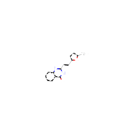 O=c1[nH]c(/C=C/c2ccc([N+](=O)[O-])o2)nc2ccccc12